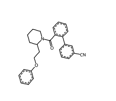 N#Cc1cccc(-c2ccccc2C(=O)N2CCCCC2CCOc2ccccc2)c1